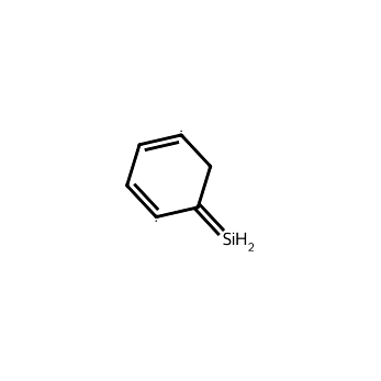 [SiH2]=C1[C]=CC=[C]C1